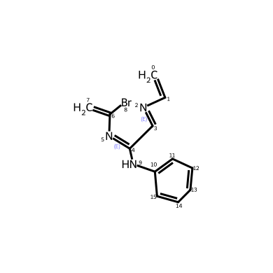 C=C/N=C/C(=N\C(=C)Br)Nc1ccccc1